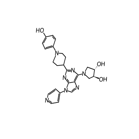 Oc1ccc(N2CCC(c3nc(N4C[C@H](O)[C@@H](O)C4)c4ncn(-c5ccncc5)c4n3)CC2)cc1